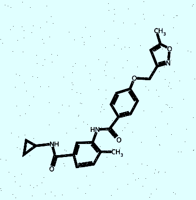 Cc1cc(COc2ccc(C(=O)Nc3cc(C(=O)NC4CC4)ccc3C)cc2)no1